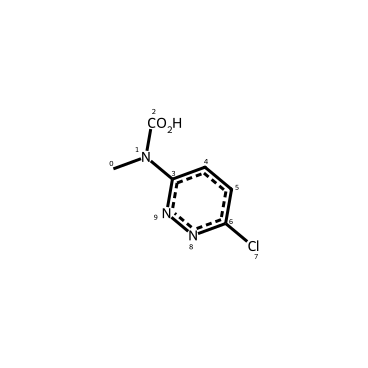 CN(C(=O)O)c1ccc(Cl)nn1